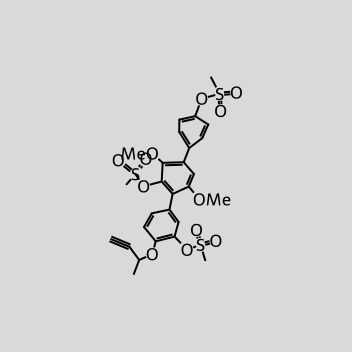 C#CC(C)Oc1ccc(-c2c(OC)cc(-c3ccc(OS(C)(=O)=O)cc3)c(OC)c2OS(C)(=O)=O)cc1OS(C)(=O)=O